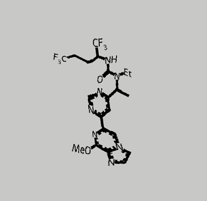 CCN(C(=O)NC(CCC(F)(F)F)C(F)(F)F)C(C)c1cc(-c2cn3ccnc3c(OC)n2)ncn1